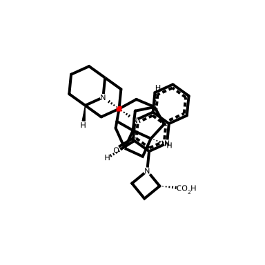 CC12C[C@H]3C[C@@H](N4C5CCC[C@H]4C[C@@H](n4c(=O)c(N6CC[C@H]6C(=O)O)nc6ccccc64)C5)C[C@@H]1C[C@@H]2C3